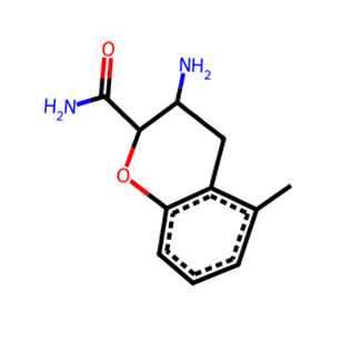 Cc1cccc2c1CC(N)C(C(N)=O)O2